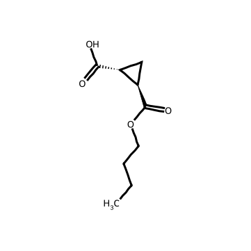 CCCCOC(=O)[C@@H]1C[C@H]1C(=O)O